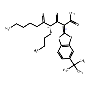 CCCCCC(=S)[C@@H](CCCC)C(=O)/C(C(C)=O)=C1\Sc2ccc(C(C)(C)C)cc2S1